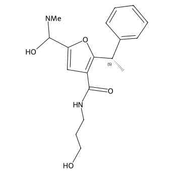 CNC(O)c1cc(C(=O)NCCCO)c([C@@H](C)c2ccccc2)o1